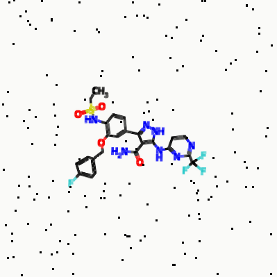 CCS(=O)(=O)Nc1ccc(-c2n[nH]c(Nc3ccnc(C(F)(F)F)n3)c2C(N)=O)cc1OCc1ccc(F)cc1